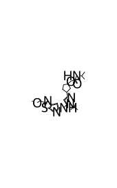 COCc1nc2cc(Nc3cc(C4CCC(OC(=O)NC(C)C)C4)nn3C(C)(C)C)ncc2s1